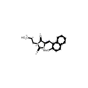 COc1ccc2ccccc2c1/C=C1\SC(=S)N(CCC(=O)O)C1=O